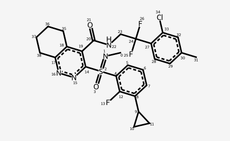 CN=S(=O)(c1cccc(C2CC2)c1F)c1nnc2c(c1C(=O)NCC(F)(F)c1ccc(C)cc1Cl)CCCC2